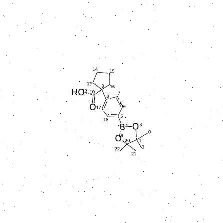 CC1(C)OB(c2ccc(C3(C(=O)O)CCCC3)cc2)OC1(C)C